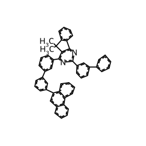 CC1(C)c2ccccc2-c2nc(-c3cccc(-c4ccccc4)c3)nc(-c3cccc(-c4cccc(-c5cc6ccccc6c6ccccc56)c4)c3)c21